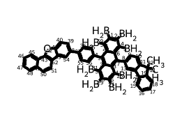 Bc1c(B)c(B)c2c(-c3ccc4c(c3)-c3ccccc3C4(C)C)c3c(B)c(B)c(B)c(B)c3c(-c3ccc(-c4ccc5oc6c7ccccc7ccc6c5c4)cc3)c2c1B